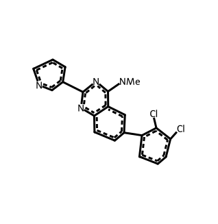 CNc1nc(-c2cccnc2)nc2ccc(-c3cccc(Cl)c3Cl)cc12